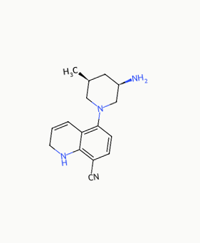 C[C@H]1C[C@@H](N)CN(c2ccc(C#N)c3c2C=CCN3)C1